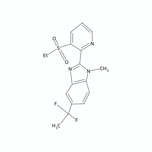 CCS(=O)(=O)c1cccnc1-c1nc2cc(C(C)(F)F)ccc2n1C